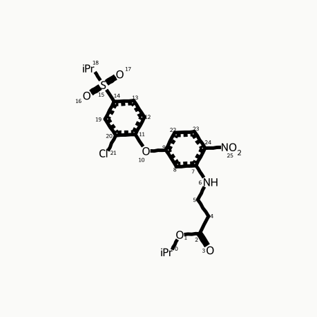 CC(C)OC(=O)CCNc1cc(Oc2ccc(S(=O)(=O)C(C)C)cc2Cl)ccc1[N+](=O)[O-]